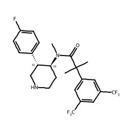 CN(C(=O)C(C)(C)c1cc(C(F)(F)F)cc(C(F)(F)F)c1)[C@H]1CCNC[C@@H]1c1ccc(F)cc1